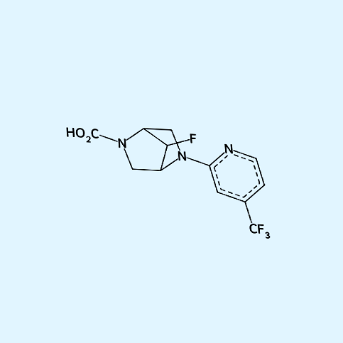 O=C(O)N1CC2C(F)C1CN2c1cc(C(F)(F)F)ccn1